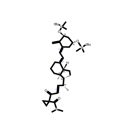 C=C1/C(=C/C=C2\CCC[C@]3(C)[C@@H]([C@H](C)/C=C/C(=O)C4(C(=O)N(C)C)CC4)CC[C@@H]23)C[C@@H](O[Si](C)(C)C(C)(C)C)C[C@@H]1O[Si](C)(C)C(C)(C)C